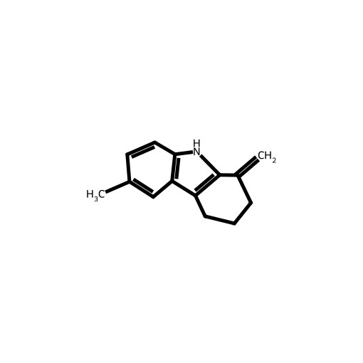 C=C1CCCc2c1[nH]c1ccc(C)cc21